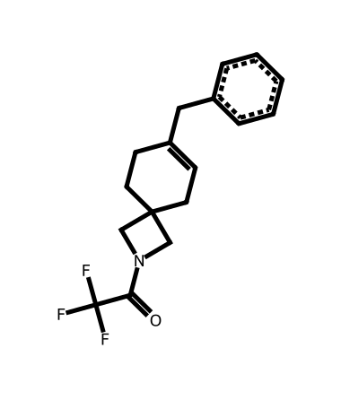 O=C(N1CC2(CC=C(Cc3ccccc3)CC2)C1)C(F)(F)F